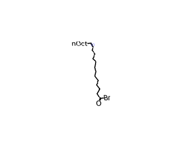 CCCCCCCC/C=C\CCCCCCCCCCCC(=O)Br